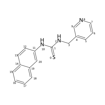 S=C(NCc1cccnc1)Nc1ccc2ccccc2c1